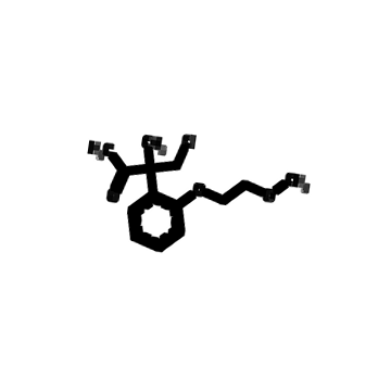 COCCOc1ccccc1C(C)(CCl)C(C)=O